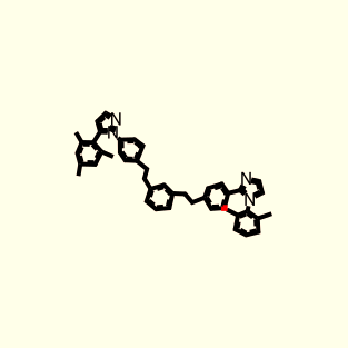 Cc1cc(C)c(-c2ccnn2-c2ccc(CCc3cccc(CCc4ccc(-c5nccn5-c5c(C)cccc5C)cc4)c3)cc2)c(C)c1